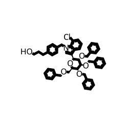 OCCCc1ccc(Cn2cc([C@@H]3O[C@H](COCc4ccccc4)[C@@H](OCc4ccccc4)[C@H](OCc4ccccc4)[C@H]3OCc3ccccc3)c3cccc(Cl)c32)cc1